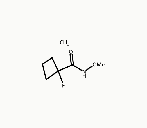 C.CONC(=O)C1(F)CCC1